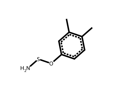 Cc1ccc(OSN)cc1C